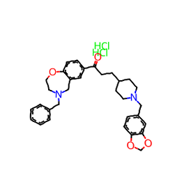 Cl.Cl.O=C(CCC1CCN(Cc2ccc3c(c2)OCO3)CC1)c1ccc2c(c1)CN(Cc1ccccc1)CCO2